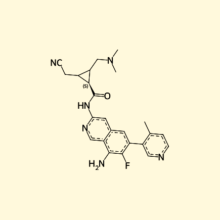 Cc1ccncc1-c1cc2cc(NC(=O)[C@H]3C(CC#N)C3CN(C)C)ncc2c(N)c1F